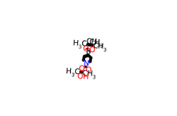 CC(C)(O)OC(=O)N1CC=C(B2OC(C)(C)C(C)(C)O2)CC1